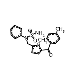 Cc1ccc(C(=O)c2ccc(CN(c3ccccc3)S(N)(=O)=O)n2C)cc1